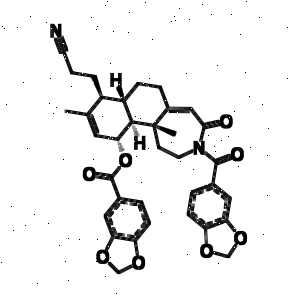 CC1=C[C@@H](OC(=O)c2ccc3c(c2)OCO3)[C@H]2[C@@H](CCC3=CC(=O)N(C(=O)c4ccc5c(c4)OCO5)CC[C@@]32C)[C@@H]1CCC#N